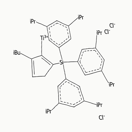 CCC(C)C1=CCC([Si](c2cc(C(C)C)cc(C(C)C)c2)(c2cc(C(C)C)cc(C(C)C)c2)c2cc(C(C)C)cc(C(C)C)c2)=[C]1[Ti+3].[Cl-].[Cl-].[Cl-]